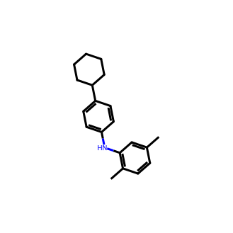 Cc1ccc(C)c(Nc2ccc(C3CCCCC3)cc2)c1